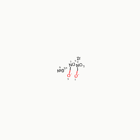 O=[N+]([O-])[O-].O=[N+]([O-])[O-].[Mg+2].[Zr]